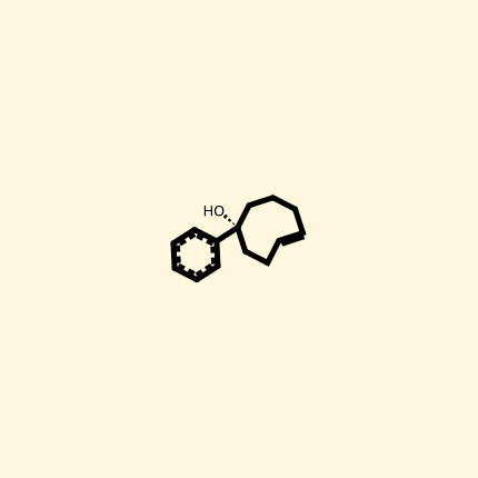 O[C@@]1(c2ccccc2)CC/C=C/CCC1